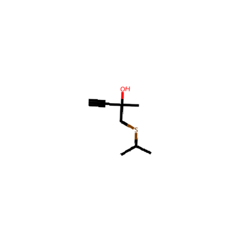 C#CC(C)(O)CSC(C)C